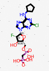 O=P(O)(O)CP(=O)(O)OC[C@H]1O[C@@H](n2cnc3c(NC4CCCC4)nc(Cl)nc32)[C@@H](F)[C@@H]1O